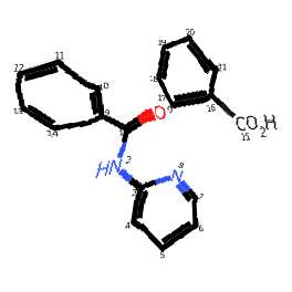 O=C(Nc1ccccn1)c1ccccc1.O=C(O)c1ccccc1